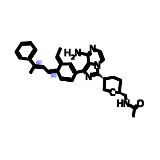 CC=c1cc(-c2nc([C@H]3CC[C@H](CNC(C)=O)CC3)n3ccnc(N)c23)cc/c1=C/C=C(\C)c1ccccc1